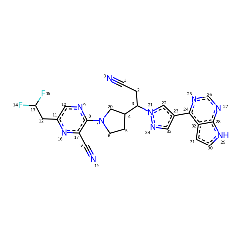 N#CCC(C1CCN(c2ncc(CC(F)F)nc2C#N)C1)n1cc(-c2ncnc3[nH]ccc23)cn1